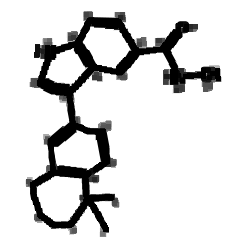 CC1(C)CCCc2cc(-c3c[nH]c4ccc(C(=O)NO)cc34)ccc21